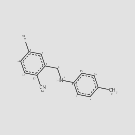 Cc1ccc(NCc2cc(F)ccc2C#N)cc1